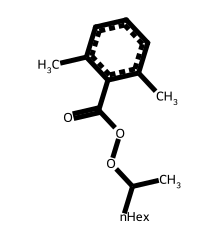 CCCCCC[C](C)OOC(=O)c1c(C)cccc1C